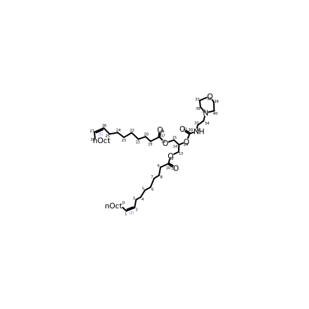 CCCCCCCC/C=C\CCCCCCCC(=O)OCC(COC(=O)CCCCCCC/C=C\CCCCCCCC)OC(=O)NCCN1CCOCC1